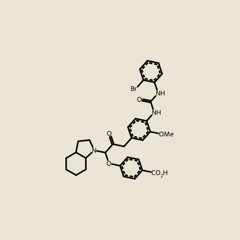 COc1cc(CC(=O)C(Oc2ccc(C(=O)O)cc2)N2CCC3CCCCC32)ccc1NC(=O)Nc1ccccc1Br